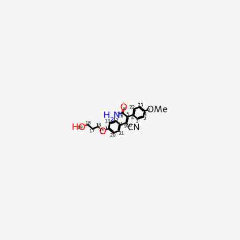 COc1ccc(/C(C(N)=O)=C(\C#N)c2ccc(OCCCO)cc2)cc1